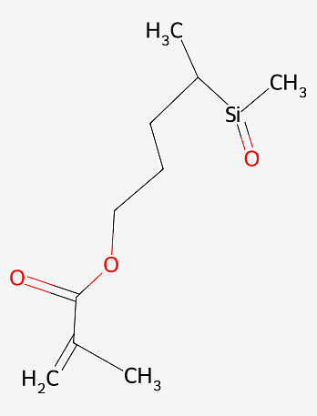 C=C(C)C(=O)OCCCC(C)[Si](C)=O